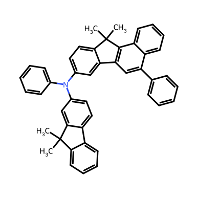 CC1(C)c2ccccc2-c2ccc(N(c3ccccc3)c3ccc4c(c3)-c3cc(-c5ccccc5)c5ccccc5c3C4(C)C)cc21